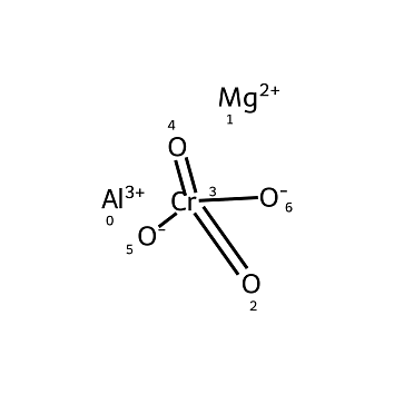 [Al+3].[Mg+2].[O]=[Cr](=[O])([O-])[O-]